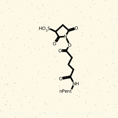 CCCCCNC(=O)CCCC(=O)ON1C(=O)CC(S(=O)(=O)O)C1=O